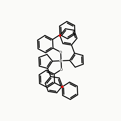 C1=CC(c2ccccc2)=[C]([Zr]([O]c2ccccc2-c2ccccc2)([O]c2ccccc2-c2ccccc2)[C]2=C(c3ccccc3)C=CC2)C1